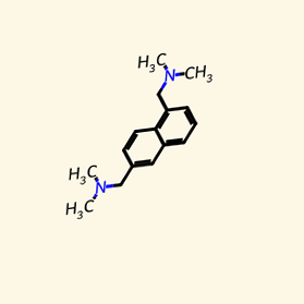 CN(C)Cc1ccc2c(CN(C)C)cccc2c1